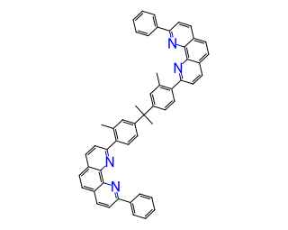 Cc1cc(C(C)(C)c2ccc(-c3ccc4ccc5ccc(-c6ccccc6)nc5c4n3)c(C)c2)ccc1-c1ccc2ccc3ccc(-c4ccccc4)nc3c2n1